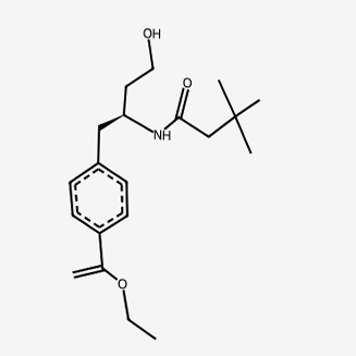 C=C(OCC)c1ccc(C[C@@H](CCO)NC(=O)CC(C)(C)C)cc1